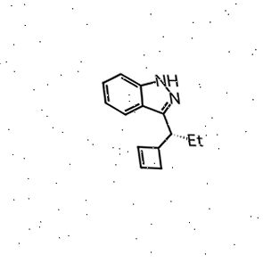 CC[C@@H](c1n[nH]c2ccccc12)C1C=CC1